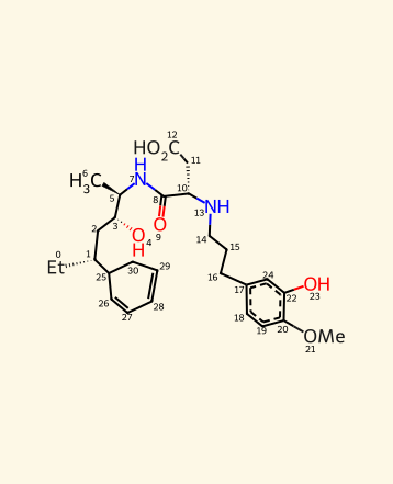 CC[C@H](C[C@@H](O)[C@@H](C)NC(=O)[C@H](CC(=O)O)NCCCc1ccc(OC)c(O)c1)C1C=CC=CC1